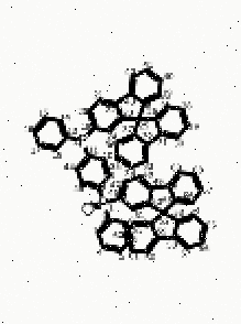 O=P(c1ccccc1)(c1ccc(P(c2ccccc2)c2ccc3c(c2)C2(c4ccccc4-c4ccccc42)c2ccccc2-3)cc1)c1ccc2c(c1)C1(c3ccccc3-c3ccccc31)c1ccccc1-2